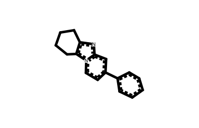 c1ccc(-c2ccn3c4c(nc3c2)CCCC4)cc1